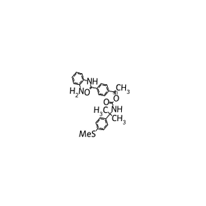 CSc1ccc(C(C)(C)NC(=O)O[C@H](C)c2ccc(C(=O)Nc3ccccc3N)cc2)cc1